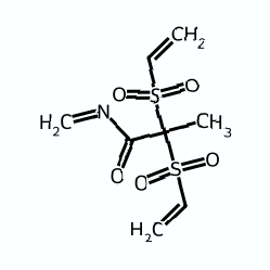 C=CS(=O)(=O)C(C)(C(=O)N=C)S(=O)(=O)C=C